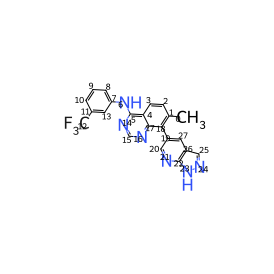 Cc1ccc2c(Nc3cccc(C(F)(F)F)c3)ncnc2c1-c1cnc2[nH]ncc2c1